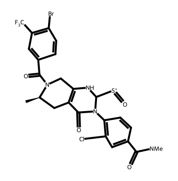 CNC(=O)c1ccc(N2C(=O)C3=C(CN(C(=O)c4ccc(Br)c(C(F)(F)F)c4)[C@H](C)C3)NC2[S+]=O)c(Cl)c1